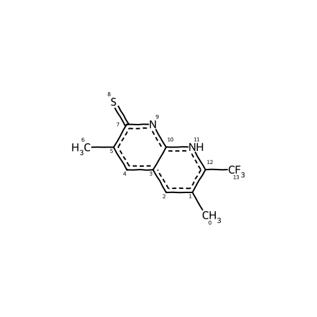 Cc1cc2cc(C)c(=S)nc-2[nH]c1C(F)(F)F